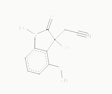 COc1cccc2c1C(C)(CC#N)C(=O)N2C